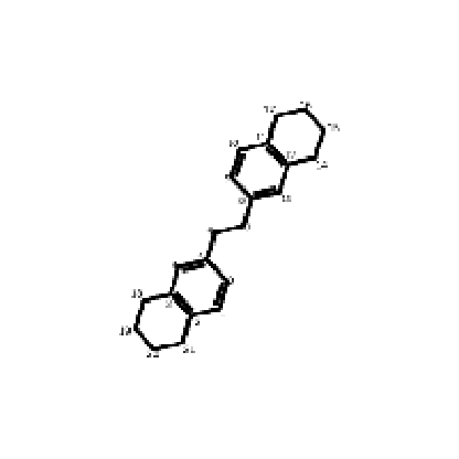 c1cc2c(cc1CCc1ccc3c(c1)CCCC3)CCCC2